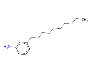 CCCCCCCCCCc1cccc(N)c1